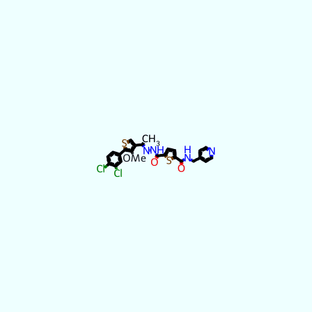 COc1c(/C(C)=N/NC(=O)c2ccc(C(=O)NCc3ccncc3)s2)csc1-c1ccc(Cl)c(Cl)c1